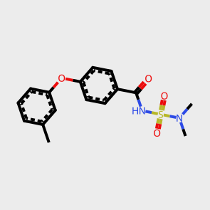 Cc1cccc(Oc2ccc(C(=O)NS(=O)(=O)N(C)C)cc2)c1